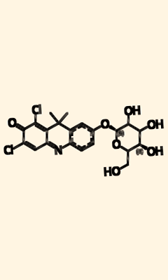 CC1(C)C2=C(Cl)C(=O)C(Cl)=CC2=Nc2ccc(O[C@@H]3OC(CO)[C@H](O)C(O)C3O)cc21